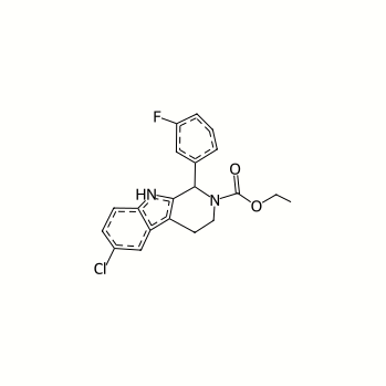 CCOC(=O)N1CCc2c([nH]c3ccc(Cl)cc23)C1c1cccc(F)c1